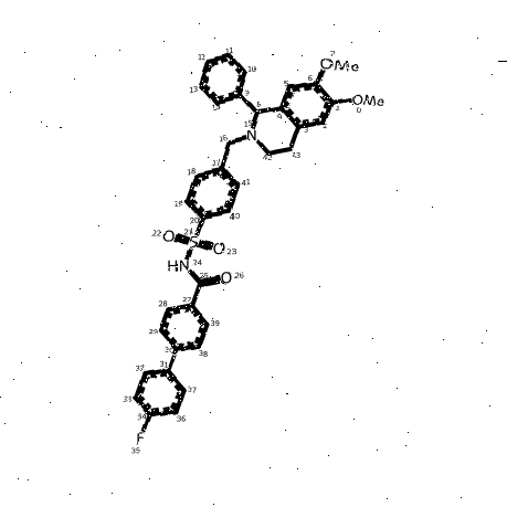 COc1cc2c(cc1OC)C(c1ccccc1)N(Cc1ccc(S(=O)(=O)NC(=O)c3ccc(-c4ccc(F)cc4)cc3)cc1)CC2